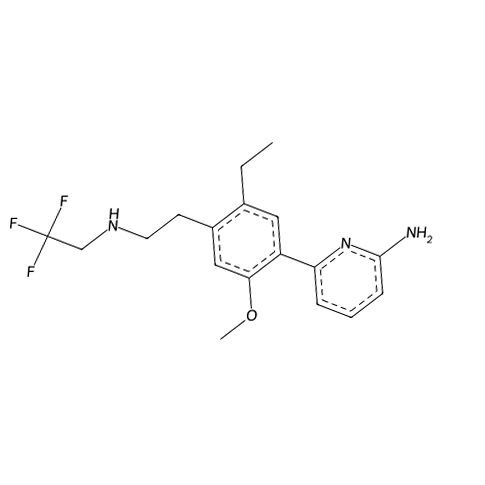 CCc1cc(-c2cccc(N)n2)c(OC)cc1CCNCC(F)(F)F